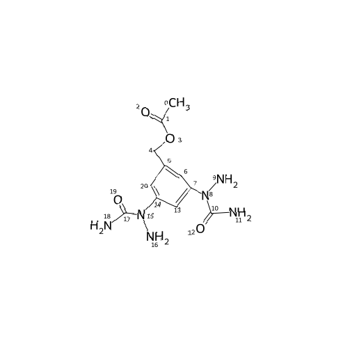 CC(=O)OCc1cc(N(N)C(N)=O)cc(N(N)C(N)=O)c1